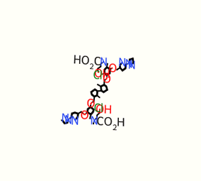 Cc1c(COc2cc(OCc3ccc(-n4cccn4)nc3)c(CN(C)C(CCO)C(=O)O)cc2Cl)cccc1-c1cccc(COc2cc(OCc3ccc(-n4cccn4)nc3)c(CN(C)C(CCO)C(=O)O)cc2Cl)c1C